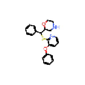 c1ccc(Oc2cccnc2SC(c2ccccc2)C2CNCCO2)cc1